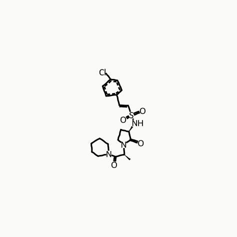 C[C@@H](C(=O)N1CCCCC1)N1CC[C@@H](NS(=O)(=O)C=Cc2ccc(Cl)cc2)C1=O